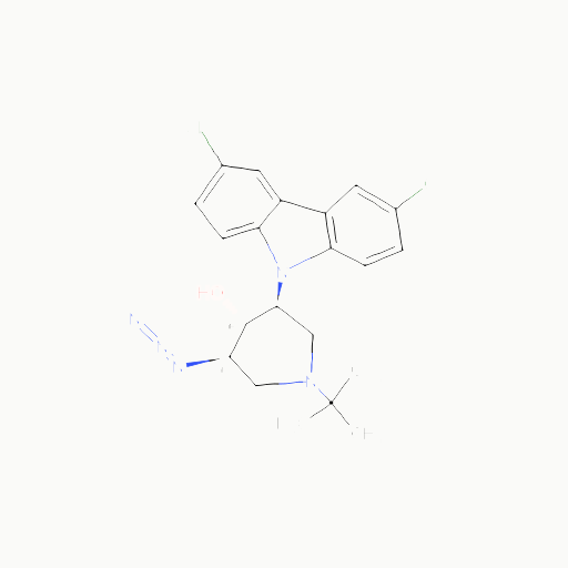 CC(C)(C)N1C[C@@H](N=[N+]=[N-])[C@H](O)[C@@H](n2c3ccc(Cl)cc3c3cc(Cl)ccc32)C1